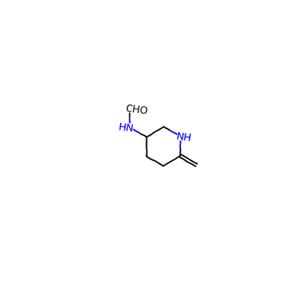 C=C1CCC(NC=O)CN1